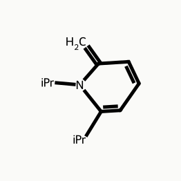 C=C1C=CC=C(C(C)C)N1C(C)C